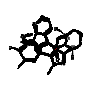 COc1cc(-c2c3c(nn2C)[C@@H]2CCC[C@H](C3)N2C(=O)c2nn(C)c3ncccc23)cc(F)c1F